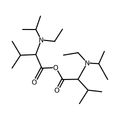 CCN(C(C)C)C(C(=O)OC(=O)C(C(C)C)N(CC)C(C)C)C(C)C